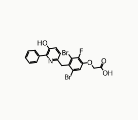 O=C(O)COc1cc(Br)c(Cc2ccc(O)c(-c3ccccc3)n2)c(Br)c1F